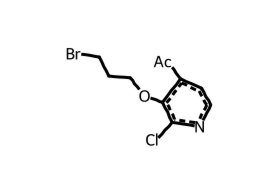 CC(=O)c1ccnc(Cl)c1OCCCBr